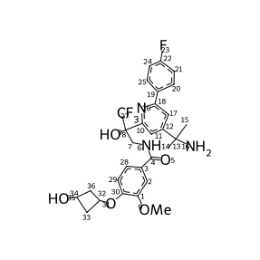 COc1cc(C(=O)NCC(O)(c2cc(C(C)(C)N)cc(-c3ccc(F)cc3)n2)C(F)(F)F)ccc1OC1CC(O)C1